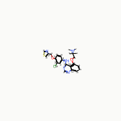 CN(C)C(C)(C)COc1cccc2ncnc(Nc3ccc(OCc4cscn4)c(Cl)c3)c12